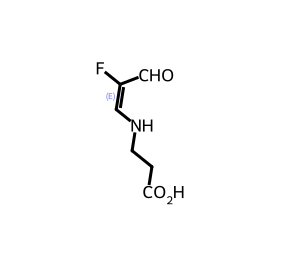 O=C/C(F)=C\NCCC(=O)O